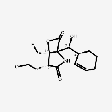 O=C1NC2([C@@H](O)[C@@H]3C=CCCC3)C(=O)O[C@]2(CF)[C@H]1CCCl